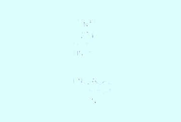 COc1cc([N+](=O)[O-])ccc1C(=O)N[C@H]1CC[C@@H](Nc2cc(N(C)C)c3ccccc3n2)CC1